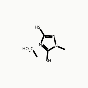 CC(=O)O.Cn1nc(S)nc1S